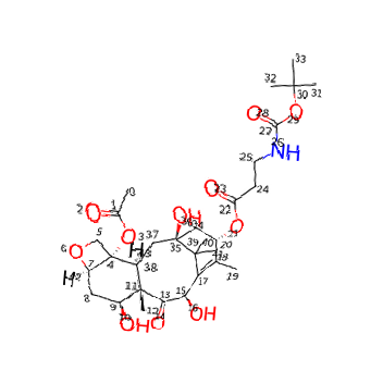 CC(=O)O[C@@]12CO[C@@H]1C[C@H](O)[C@@]1(C)C(=O)[C@H](O)C3=C(C)[C@@H](OC(=O)CCNC(=O)OC(C)(C)C)C[C@@](O)(C[C@H]21)C3(C)C